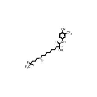 C[C@](O)(CCCCCCC[S+]([O-])CCCC(F)(F)C(F)(F)F)C(=O)Nc1ccc(C#N)c(C(F)(F)F)c1